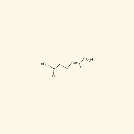 CCCC(CC)CC/C=C(\C)C(=O)O